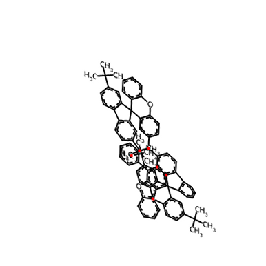 CC(C)(C)c1ccc2c(c1)C1(c3cc(C(C)(C)C)ccc3S2)c2ccccc2-c2ccc(N(c3ccc4c(c3)C3(c5ccccc5O4)c4cc(C(C)(C)C)ccc4-c4ccc(C(C)(C)C)cc43)c3ccccc3-c3cccc4c3oc3ccccc34)cc21